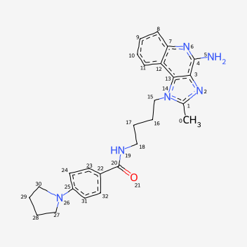 Cc1nc2c(N)nc3ccccc3c2n1CCCCNC(=O)c1ccc(N2CCCC2)cc1